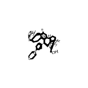 CC(=O)[C@@]1(C#CCO)CC[C@H]2[C@@H]3CC(F)C4=CC(=NO)CCC4=C3[C@@H](c3ccc(N4CCOCC4)cc3)C[C@@]21C